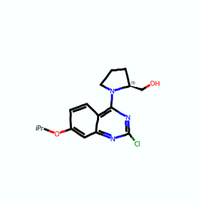 CC(C)Oc1ccc2c(N3CCC[C@H]3CO)nc(Cl)nc2c1